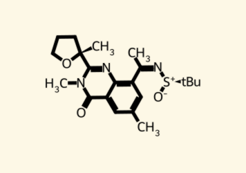 C/C(=N/[S@+]([O-])C(C)(C)C)c1cc(C)cc2c(=O)n(C)c([C@@]3(C)CCCO3)nc12